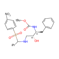 CC(C)C(NC[C@@H](O)[C@H](Cc1ccccc1)NC(=O)OC(C)(C)C)S(=O)(=O)c1ccc([N+](=O)[O-])cc1